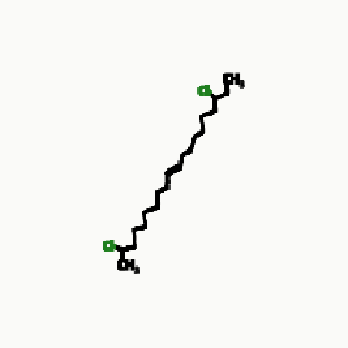 CCC(Cl)CCCCCCC=CCCCCCCCC(C)Cl